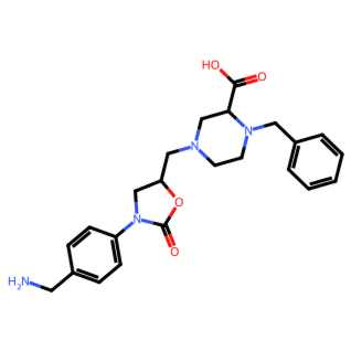 NCc1ccc(N2CC(CN3CCN(Cc4ccccc4)C(C(=O)O)C3)OC2=O)cc1